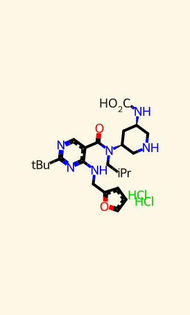 CC(C)CN(C(=O)c1cnc(C(C)(C)C)nc1NCc1ccco1)[C@@H]1CNC[C@H](NC(=O)O)C1.Cl.Cl